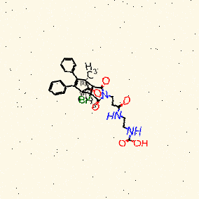 C[C@]12C(=O)[C@](C)(C(c3ccccc3)=C1c1ccccc1)C1(Br)C(=O)N(CCC(=O)NCCNC(=O)O)C(=O)C12